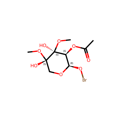 CO[C@@]1(O)[C@@H](OC(C)=O)[C@@H](OBr)OC[C@]1(O)OC